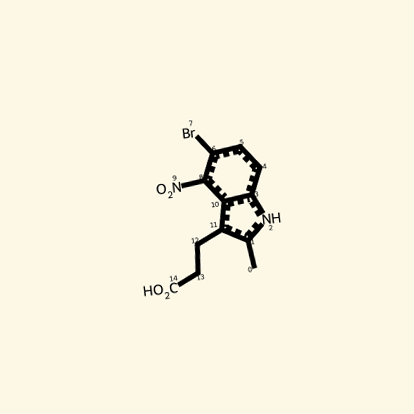 Cc1[nH]c2ccc(Br)c([N+](=O)[O-])c2c1CCC(=O)O